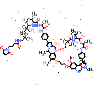 BC12C=Nc3cc(OCCCOc4cc(/N=C\C5CC(c6ccc(NC(=O)[C@H](C)NC(=O)C(NC(=O)C(C)(C)CCO)C(C)C)cc6)=CN5C)c(C=C)cc4OC)c(C)cc3C(=C)N1C=C(c1ccc(NC(=O)C(C)NC(=O)C(NC(=O)C(C)(C)COC(C)(C)CNC(=O)CCCN3C(=O)C=CC3=O)C(C)C)cc1)C2